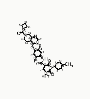 Cc1ccc(-n2c(=O)c(C(=O)Nc3cc(F)c(Oc4ncnc5c4CCN(C(=O)N4CCC4)C5)cc3F)cn(C(C)C)c2=O)nc1